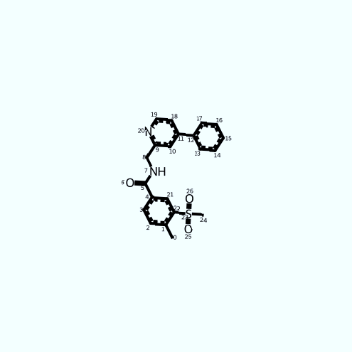 Cc1ccc(C(=O)NCc2cc(-c3ccccc3)ccn2)cc1S(C)(=O)=O